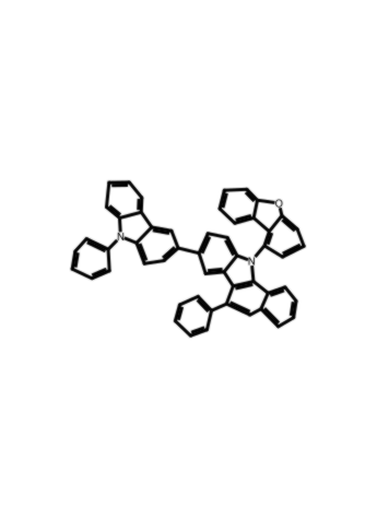 c1ccc(-c2cc3ccccc3c3c2c2cc(-c4ccc5c(c4)c4ccccc4n5-c4ccccc4)ccc2n3-c2cccc3oc4ccccc4c23)cc1